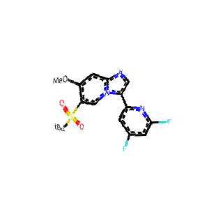 COc1cc2ncc(-c3cc(F)cc(F)n3)n2cc1S(=O)(=O)C(C)(C)C